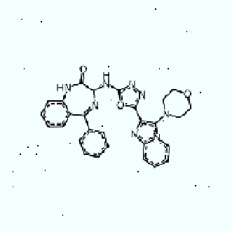 O=C1Nc2ccccc2C(c2ccccc2)=N[C@@H]1Nc1nnc(-c2nc3ccccn3c2N2CCOCC2)o1